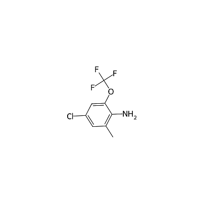 Cc1cc(Cl)cc(OC(F)(F)F)c1N